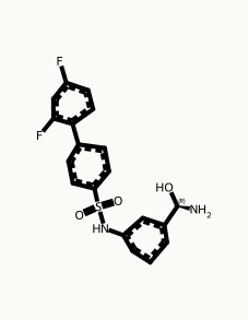 N[C@H](O)c1cccc(NS(=O)(=O)c2ccc(-c3ccc(F)cc3F)cc2)c1